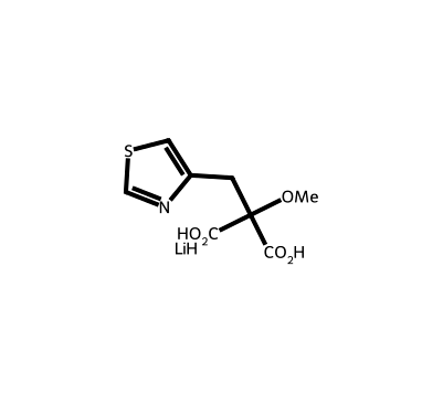 COC(Cc1cscn1)(C(=O)O)C(=O)O.[LiH]